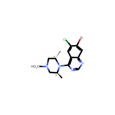 C[C@H]1CN(C(=O)O)C[C@H](C)N1c1ncnc2cc(Br)c(Cl)cc12